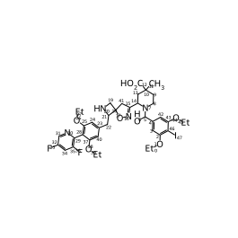 CCOc1cc(C(O)N2CCC(C)(C(=O)O)CC2C2=NOC3(CNC3Cc3cc(OCC)c(-c4ncc(F)cc4F)c(OCC)c3)C2)cc(OCC)c1I